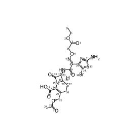 CCOC(=O)CON=C(C(=O)N[C@@H]1C(=O)N2C(C(=O)O)=C(COC(C)=O)CS[C@H]12)c1nc(N)sc1Br